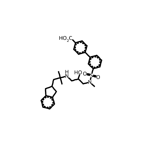 CN(CC(O)CNC(C)(C)CC1Cc2ccccc2C1)S(=O)(=O)c1cccc(-c2ccc(C(=O)O)cc2)c1